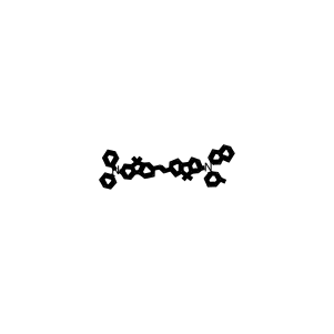 Cc1cccc(N(c2ccc3c(c2)C(C)(C)c2cc(/C=C/c4ccc5c(c4)C(C)(C)c4cc(N(c6ccccc6)c6ccccc6)ccc4-5)ccc2-3)c2ccc3ccccc3c2)c1